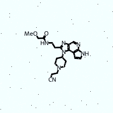 COCC(=O)NCCc1nc2cnc3[nH]ccc3c2n1C1CCN(CCC#N)CC1